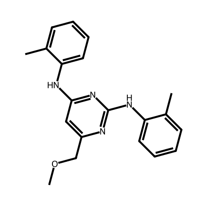 COCc1cc(Nc2ccccc2C)nc(Nc2ccccc2C)n1